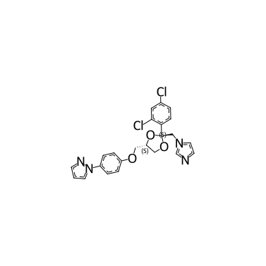 Clc1ccc([C@]2(Cn3ccnc3)OC[C@H](COc3ccc(-n4cccn4)cc3)O2)c(Cl)c1